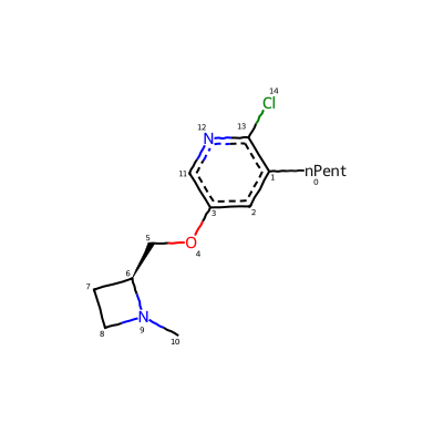 CCCCCc1cc(OC[C@@H]2CCN2C)cnc1Cl